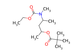 CCOC(=O)N(C)C(C)CC(C)OC(=O)C(C)(C)C